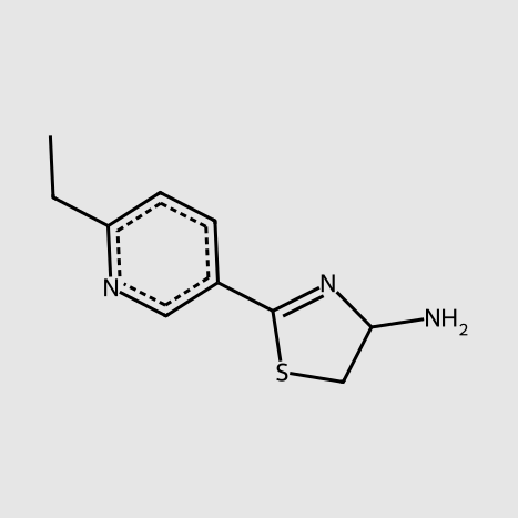 CCc1ccc(C2=NC(N)CS2)cn1